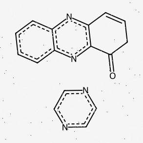 O=C1CC=Cc2nc3ccccc3nc21.c1cnccn1